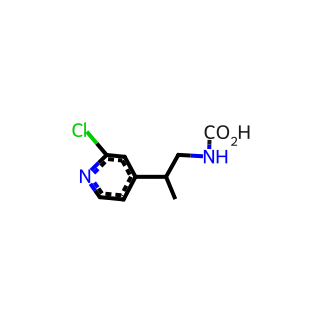 CC(CNC(=O)O)c1ccnc(Cl)c1